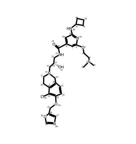 CN(C)CCOc1cc(C(=O)NC[C@H](O)CN2CCc3c(ccc(OCc4cnco4)c3Cl)C2)cc(NC2CCC2)n1